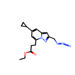 CCOC(=O)CCc1cc(C2CC2)cc2cc(CN=[N+]=[N-])nn12